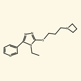 CCn1c(SCCCN2CCC2)nnc1-c1cccnc1